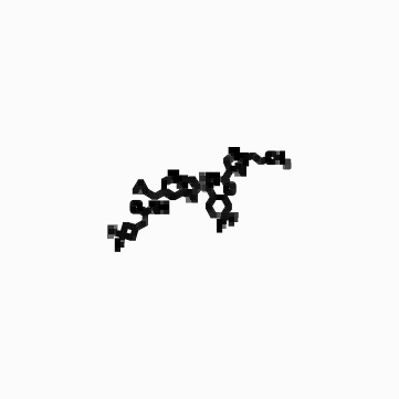 CCCn1ncc(C(=O)N[C@H](c2cn3ncc(C(NC(=O)CC4CC(F)(F)C4)C4CC4)cc3n2)C2CCC(F)(F)CC2)n1